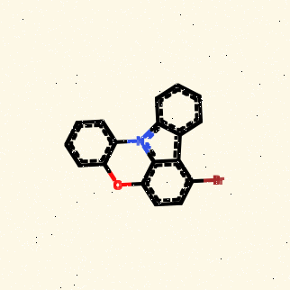 Brc1ccc2c3c1c1ccccc1n3-c1ccccc1O2